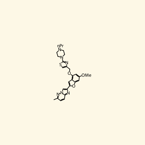 CCCN1CCN(c2nc(COc3cc(OC)cc4oc(-c5cn6nc(C)ccc6n5)cc34)cs2)CC1